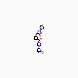 O=C1N=C(N2CCSCC2)S/C1=C/c1cccc(C(=O)N2CCN(c3cccc(Cl)n3)CC2)c1